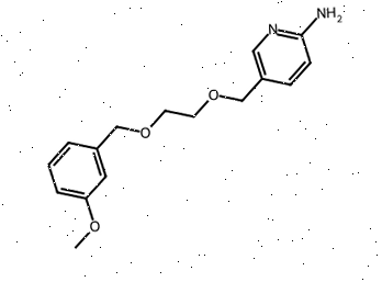 COc1cccc(COCCOCc2ccc(N)nc2)c1